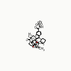 CCCS(=O)(=O)NC(=O)c1ccc2c(C3CCCCC3)c(-c3ccc(OC)cc3C)n(CC(C)(C)C(=O)N3CCCC4(CCN(C)C4)C3)c2c1